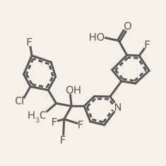 CC(c1ccc(F)cc1Cl)C(O)(c1ccnc(-c2ccc(F)c(C(=O)O)c2)c1)C(F)(F)F